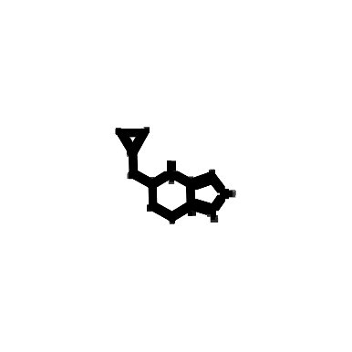 C1=C2NC(CC3CC3)CCC2=N[N]1